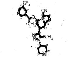 Cc1c(-c2cc(OC(C)c3cncc(C(F)(F)F)c3)n3c(C#N)cnc3c2)nnn1C1CCNCC1